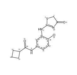 O=C1CSC(Nc2cc(NC(=O)C3CCC3)ccc2Cl)=N1